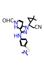 Cc1c(Nc2ccc(SN(C)C)cc2)nn(C(CC#N)C2CC2(C)C)c1/C=C\NC=O